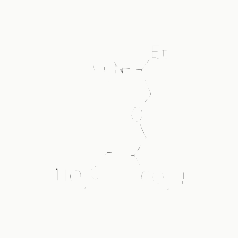 CCC(COCC(CC(=O)O)C(=O)O)[N+](=O)[O-]